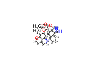 CC(C)(C)OC(C(=O)O)c1c(-c2ccc3c4c(ccnc24)CCO3)c2ccccc2c2[nH]ncc12